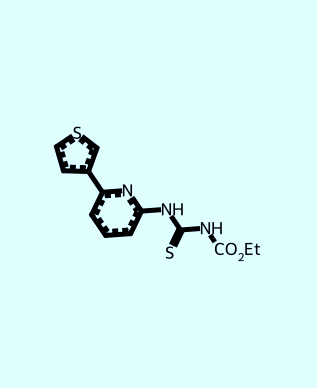 CCOC(=O)NC(=S)Nc1cccc(-c2ccsc2)n1